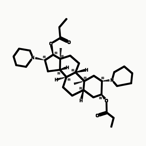 CCC(=O)O[C@H]1C[C@@H]2CC[C@@H]3[C@H](CC[C@]4(C)[C@H](OC(=O)CC)[C@@H](N5CCCCC5)C[C@@H]34)[C@@]2(C)C[C@@H]1N1CCCCC1